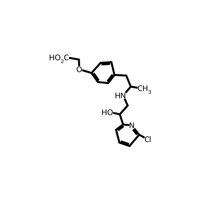 CC(Cc1ccc(OCC(=O)O)cc1)NCC(O)c1cccc(Cl)n1